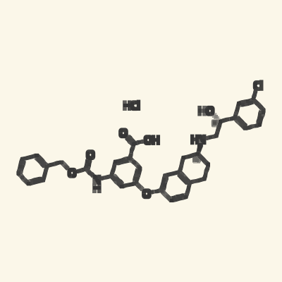 Cl.O=C(Nc1cc(Oc2ccc3c(c2)C[C@@H](NC[C@H](O)c2cccc(Cl)c2)CC3)cc(C(=O)O)c1)OCc1ccccc1